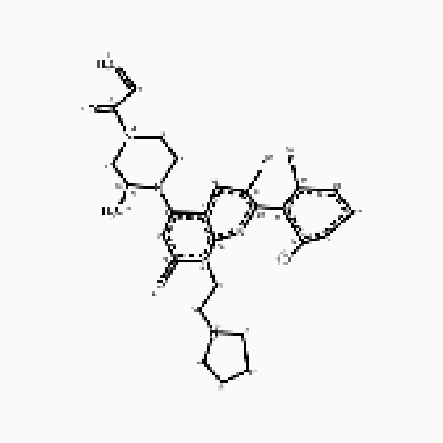 C=CC(=O)N1CCN(c2cc(=O)n(CCN3CCCC3)c3nc(-c4c(O)cccc4F)c(F)cc23)[C@@H](C)C1